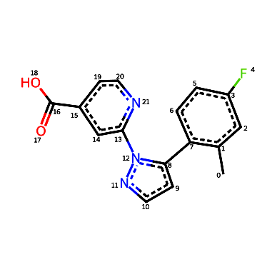 Cc1cc(F)ccc1-c1ccnn1-c1cc(C(=O)O)ccn1